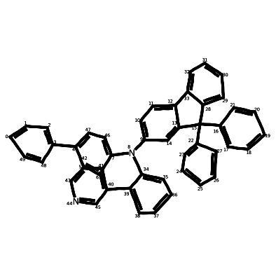 c1ccc(-c2ccc(N(c3ccc4c(c3)C(c3ccccc3)(c3ccccc3)c3ccccc3-4)c3ccccc3-c3cccnc3)cc2)cc1